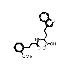 COc1ccccc1CCC(=O)N[C@@H](CCc1coc2ccccc12)B(O)O